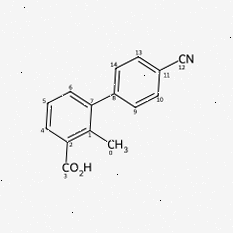 Cc1c(C(=O)O)cccc1-c1ccc(C#N)cc1